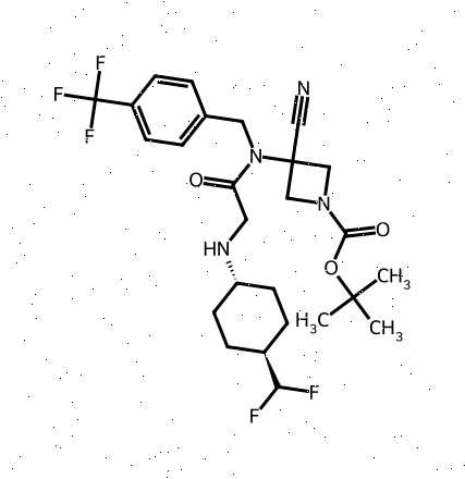 CC(C)(C)OC(=O)N1CC(C#N)(N(Cc2ccc(C(F)(F)F)cc2)C(=O)CN[C@H]2CC[C@H](C(F)F)CC2)C1